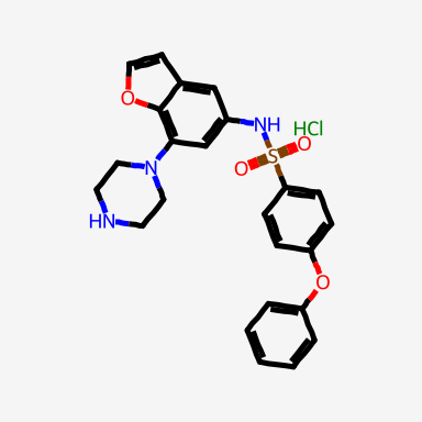 Cl.O=S(=O)(Nc1cc(N2CCNCC2)c2occc2c1)c1ccc(Oc2ccccc2)cc1